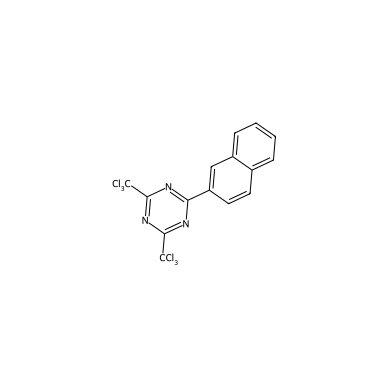 ClC(Cl)(Cl)c1nc(-c2ccc3ccccc3c2)nc(C(Cl)(Cl)Cl)n1